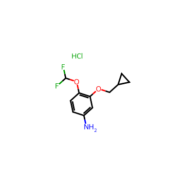 Cl.Nc1ccc(OC(F)F)c(OCC2CC2)c1